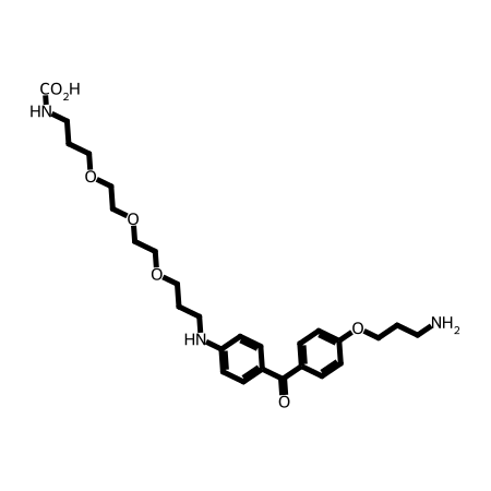 NCCCOc1ccc(C(=O)c2ccc(NCCCOCCOCCOCCCNC(=O)O)cc2)cc1